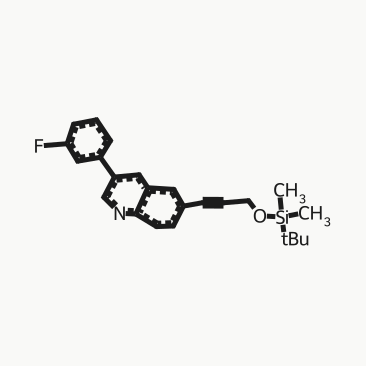 CC(C)(C)[Si](C)(C)OCC#Cc1ccc2ncc(-c3cccc(F)c3)cc2c1